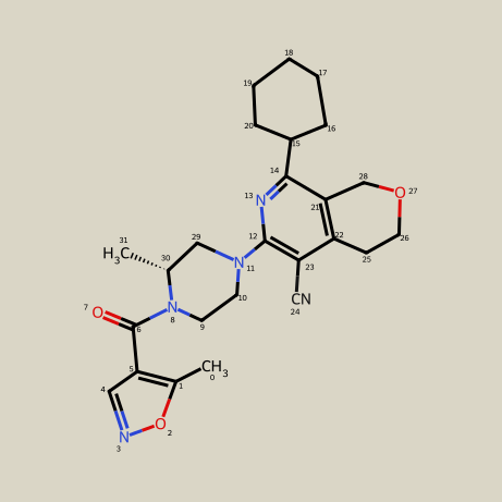 Cc1oncc1C(=O)N1CCN(c2nc(C3CCCCC3)c3c(c2C#N)CCOC3)C[C@H]1C